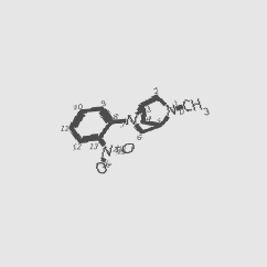 CN1CC2CC1CN2c1ccccc1[N+](=O)[O-]